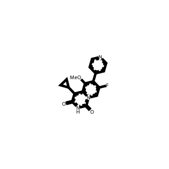 COc1c(-c2ccncc2)c(F)cn2c(=O)[nH]c(=O)c(C3CC3)c12